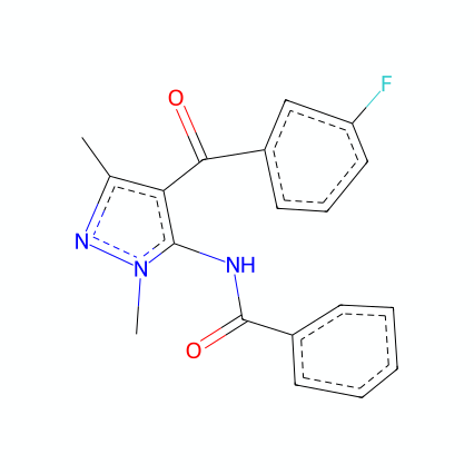 Cc1nn(C)c(NC(=O)c2ccccc2)c1C(=O)c1cccc(F)c1